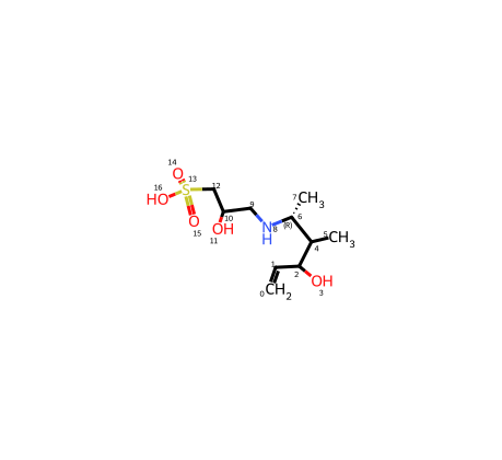 C=CC(O)C(C)[C@@H](C)NCC(O)CS(=O)(=O)O